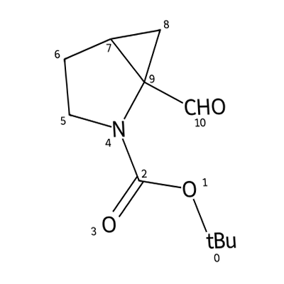 CC(C)(C)OC(=O)N1CCC2CC21C=O